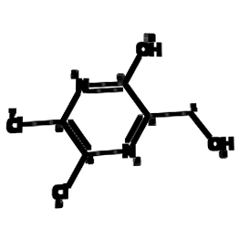 OCc1nc(Cl)c(Cl)nc1O